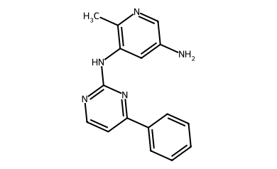 Cc1ncc(N)cc1Nc1nccc(-c2ccccc2)n1